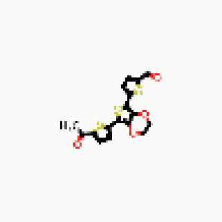 CC(=O)c1ccc(-c2sc(-c3ccc(C=O)s3)c3c2OCCO3)s1